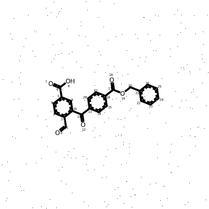 O=[C]c1ccc(C(=O)O)cc1C(=O)c1ccc(C(=O)OCc2ccccc2)cc1